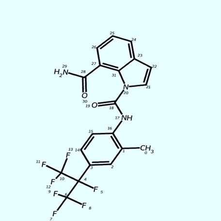 Cc1cc(C(F)(C(F)(F)F)C(F)(F)F)ccc1NC(=O)n1ccc2cccc(C(N)=O)c21